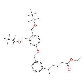 CCOC(=O)CCCC(C)c1cccc(COc2ccc(CO[Si](C)(C)C(C)(C)C)c(CO[Si](C)(C)C(C)(C)C)c2)c1